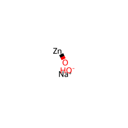 [Na+].[OH-].[O]=[Zn]